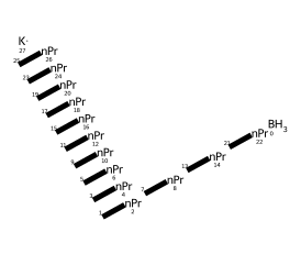 B.CCCC.CCCC.CCCC.CCCC.CCCC.CCCC.CCCC.CCCC.CCCC.CCCC.CCCC.CCCC.CCCC.[K]